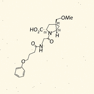 COC[C@@]12C[C@@H]1N(C(=O)CNC(=O)CCCOc1ccccc1)[C@H](C(=O)O)C2